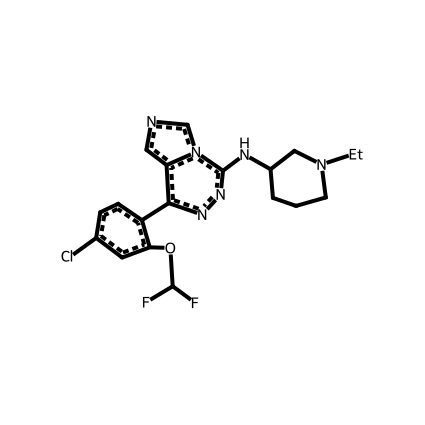 CCN1CCCC(Nc2nnc(-c3ccc(Cl)cc3OC(F)F)c3cncn23)C1